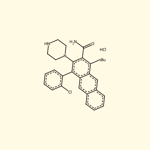 CCCCc1c(C(N)=O)c(N2CCNCC2)c(-c2ccccc2Cl)c2cc3ccccc3cc12.Cl